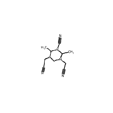 CC1N(CC#N)CN(CC#N)C(C)N1C#N